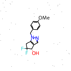 COc1ccc(Cn2ncc3c2CC(F)(F)[C@H]3O)cc1